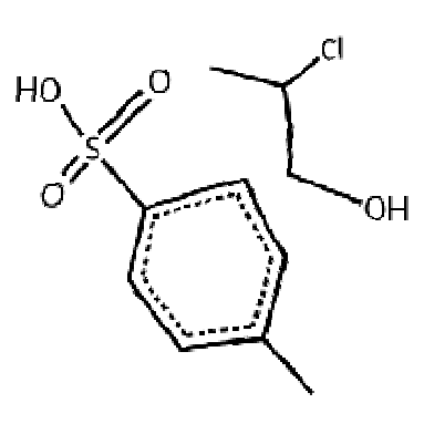 CC(Cl)CO.Cc1ccc(S(=O)(=O)O)cc1